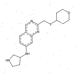 c1cc2cnc(CSC3CCOCC3)nc2cc1NC1CCNC1